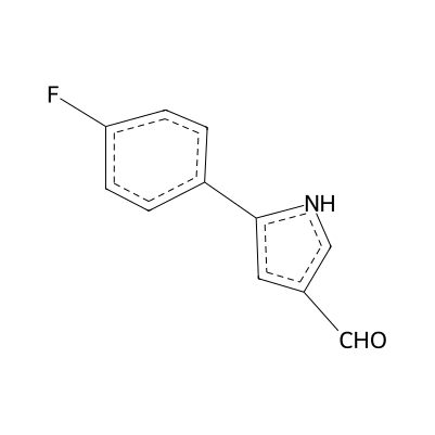 O=Cc1c[nH]c(-c2ccc(F)cc2)c1